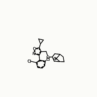 O=C1C2CCC1CC(OCc1c(-c3c(Cl)cccc3Cl)noc1C1CC1)C2